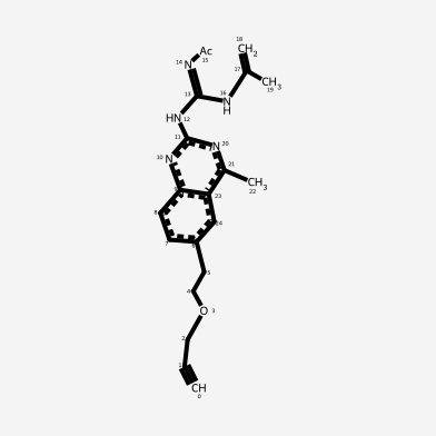 C#CCOCCc1ccc2nc(N/C(=N/C(C)=O)NC(=C)C)nc(C)c2c1